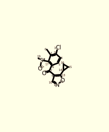 Cc1c(Cl)ccc(C(=O)c2cnoc2C2CC2)c1[S+](C)[O-]